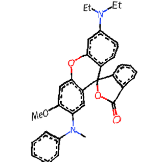 CCN(CC)c1ccc2c(c1)Oc1cc(OC)c(N(C)c3ccccc3)cc1C21OC(=O)c2ccccc21